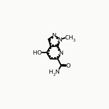 Cn1ncc2c(O)cc(C(N)=O)nc21